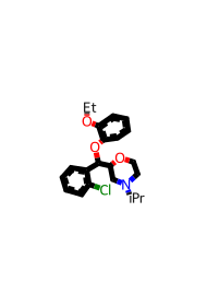 CCOc1ccccc1OC(c1ccccc1Cl)C1CN(C(C)C)CCO1